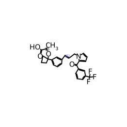 C[C@@H](OC1(c2cccc(/C=C/Cn3cccc3C(=O)c3cccc(C(F)(F)F)c3)c2)CCC1)C(=O)O